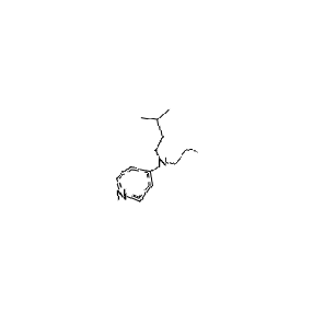 CCCN(CCC(C)C)c1ccncc1